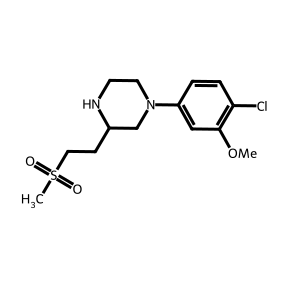 COc1cc(N2CCNC(CCS(C)(=O)=O)C2)ccc1Cl